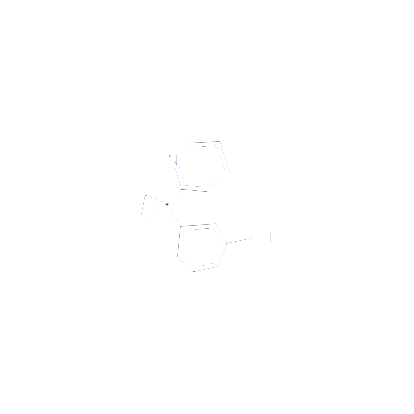 Cc1cccc(C2(c3ccccn3)CO2)c1